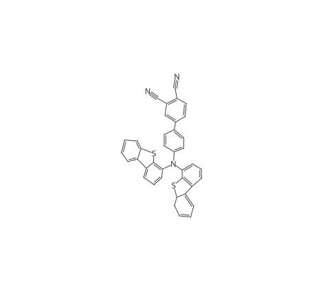 N#Cc1ccc(-c2ccc(N(c3cccc4c3SC3CC=CC=C43)c3cccc4c3sc3ccccc34)cc2)cc1C#N